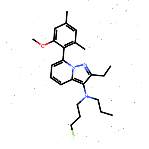 CCCN(CCCF)c1c(CC)nn2c(-c3c(C)cc(C)cc3OC)cccc12